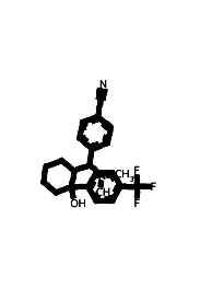 CN(C)C(c1ccc(C#N)cc1)C1CCCCC1(O)c1ccc(C(F)(F)F)cc1